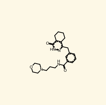 O=C(NCCCN1CCOCC1)c1cccc(Cc2n[nH]c(=O)c3c2CCCC3)c1